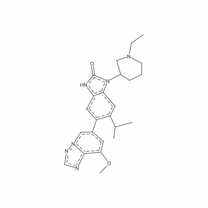 CCN1CCCC(n2c(=O)[nH]c3cc(-c4cc(OC)c5ncnn5c4)c(C(C)C)cc32)C1